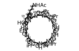 C=C1C(=O)N(C)[C@@H](CC(C)C)C(=O)N[C@H](C(C)C)C(=O)N(C)[C@H](CC(C)C)C(=O)N[C@H](C)C(=O)N[C@@H](C)C(=O)N(C)[C@@H](CC(C)C)C(=O)N(C)[C@H](CC(C)C)C(=O)N(C)[C@H](C(C)C)C(=O)N(C)[C@@H]([C@H](O)[C@H](C)CCCCCCNC(C)=O)C(=O)N[C@H](CC)C(=O)N1C